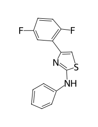 Fc1ccc(F)c(-c2csc(Nc3ccccc3)n2)c1